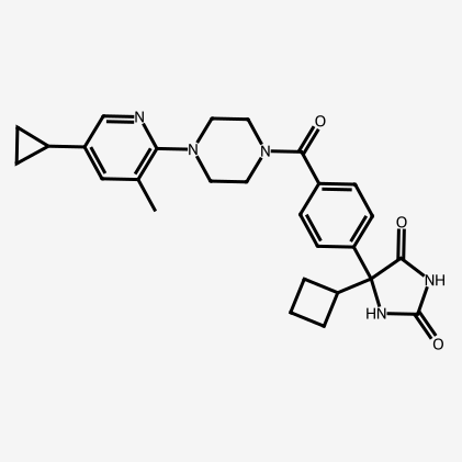 Cc1cc(C2CC2)cnc1N1CCN(C(=O)c2ccc(C3(C4CCC4)NC(=O)NC3=O)cc2)CC1